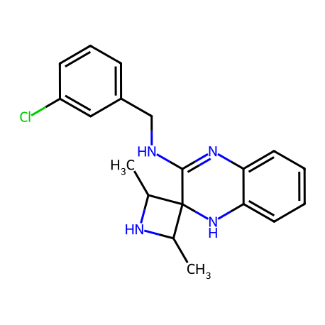 CC1NC(C)C12Nc1ccccc1N=C2NCc1cccc(Cl)c1